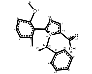 COc1cccc(C)c1-c1ncc(C(=O)O)n1[C@H](C)c1ccccc1